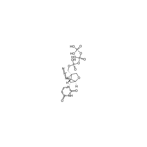 [N-]=[N+]=N[C@H]1[C@H]2OC[C@]1(COP(=O)(O)OP(=O)(O)OP(=O)(O)O)O[C@H]2n1ccc(=O)[nH]c1=O